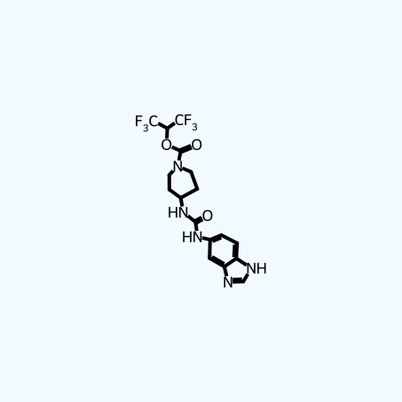 O=C(Nc1ccc2[nH]cnc2c1)NC1CCN(C(=O)OC(C(F)(F)F)C(F)(F)F)CC1